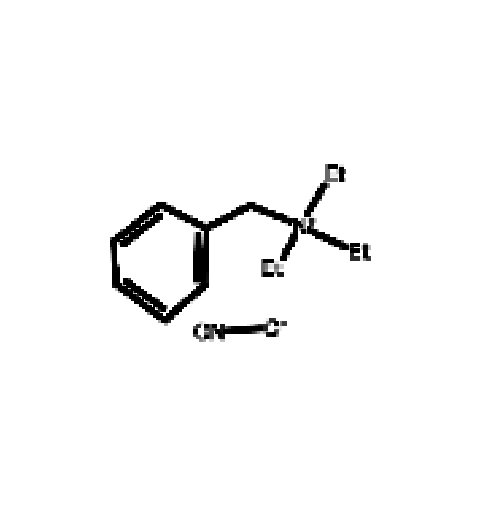 CC[N+](CC)(CC)Cc1ccccc1.O=N[O-]